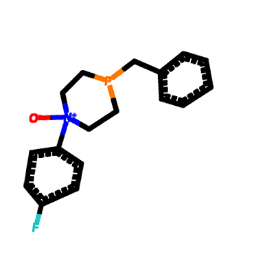 [O-][N+]1(c2ccc(F)cc2)CCP(Cc2ccccc2)CC1